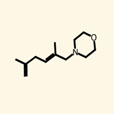 C=C(C)C/C=C(\C)CN1CCOCC1